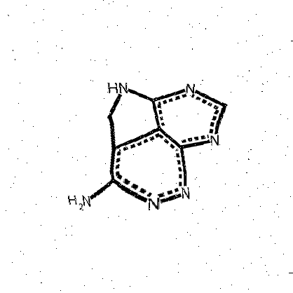 Nc1nnc2ncnc3c2c1CN3